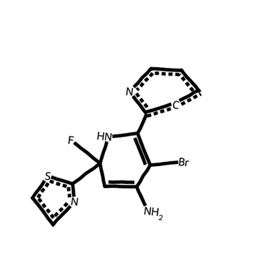 NC1=CC(F)(c2nccs2)NC(c2ccccn2)=C1Br